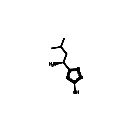 CC(C)C[C@H](N)c1cc(O)no1